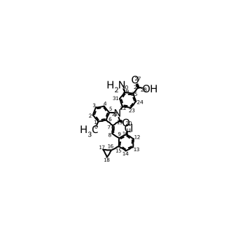 Cc1cccc2c1/C(=C/c1c(Cl)cccc1C1CC1)C(=O)N2c1ccc(C(=O)O)c(N)c1